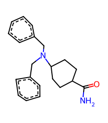 NC(=O)C1CCC(N(Cc2ccccc2)Cc2ccccc2)CC1